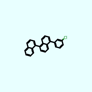 Clc1cccc(-c2cccc3c(-c4cccc5ccccc45)cccc23)c1